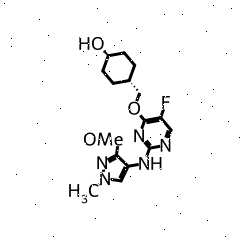 COc1nn(C)cc1Nc1ncc(F)c(OC[C@H]2CC[C@H](O)CC2)n1